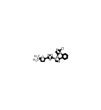 CC1(C)CCC(c2noc(N3C=NC4c5ccccc5-n5c(cnc5Cl)N43)n2)O1